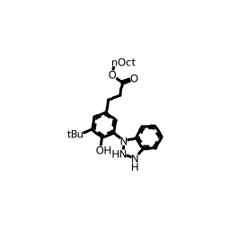 CCCCCCCCOC(=O)CCc1cc(N2NNc3ccccc32)c(O)c(C(C)(C)C)c1